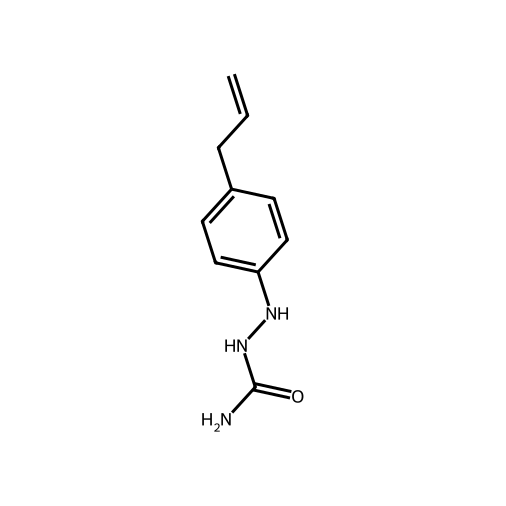 C=CCc1ccc(NNC(N)=O)cc1